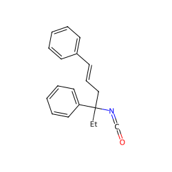 CCC(CC=Cc1ccccc1)(N=C=O)c1ccccc1